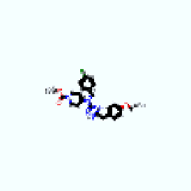 CC[C@H](C)COc1ccc(Cc2nnc(N(Cc3ccc(F)cc3)C3CCN(C(=O)OC(C)(C)C)CC3)[nH]2)cc1